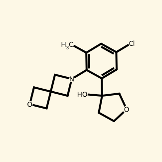 Cc1cc(Cl)cc(C2(O)CCOC2)c1N1CC2(COC2)C1